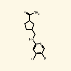 NC(=O)C1CCC(CNc2cc(Cl)c(Br)cn2)C1